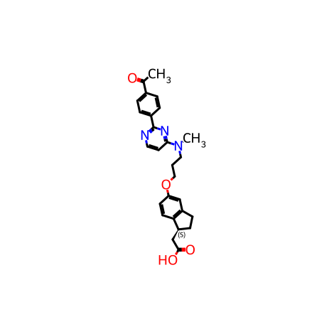 CC(=O)c1ccc(-c2nccc(N(C)CCCOc3ccc4c(c3)CC[C@H]4CC(=O)O)n2)cc1